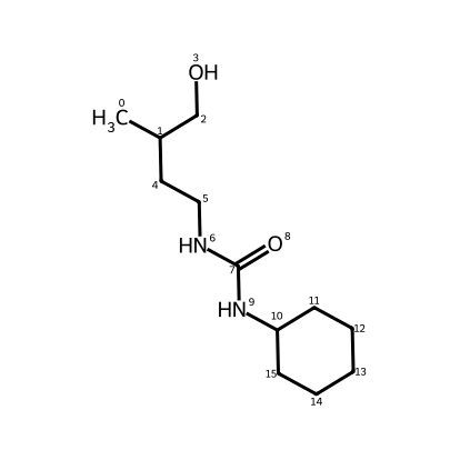 CC(CO)CCNC(=O)NC1CCCCC1